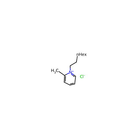 CCCCCCCC[n+]1ccccc1C.[Cl-]